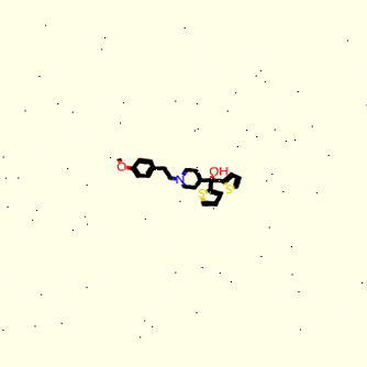 COc1ccc(CCN2CCC(C(O)(c3cccs3)c3cccs3)CC2)cc1